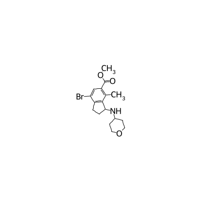 COC(=O)c1cc(Br)c2c(c1C)C(NC1CCOCC1)CC2